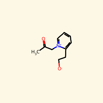 CC(=O)C[n+]1ccccc1CC[O]